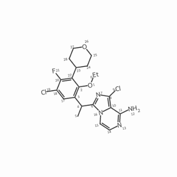 CCOc1c(C(C)c2nc(Cl)c3c(N)nccn23)cc(Cl)c(F)c1C1CCOCC1